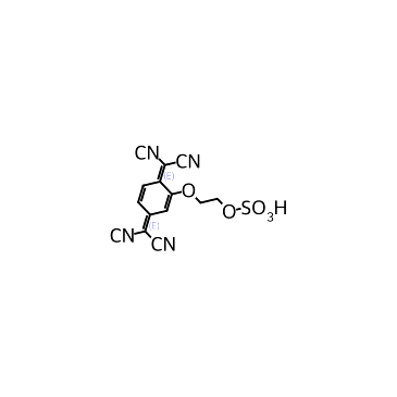 [C-]#[N+]/C(C#N)=c1\cc/c(=C(/C#N)[N+]#[C-])c(OCCOS(=O)(=O)O)c1